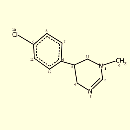 CN1C=NCC(c2ccc(Cl)cc2)C1